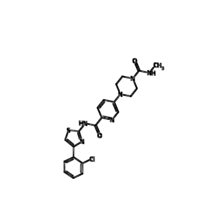 CNC(=O)N1CCN(c2ccc(C(=O)Nc3nc(-c4ccccc4Cl)cs3)nc2)CC1